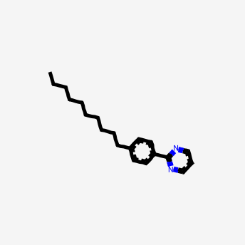 CCCCCCCCCCc1ccc(-c2nc[c]cn2)cc1